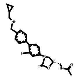 CC(=O)NC[C@H]1CN(c2ccc(-c3ccc(CNCC4CC4)cc3)c(F)c2)C(=O)O1